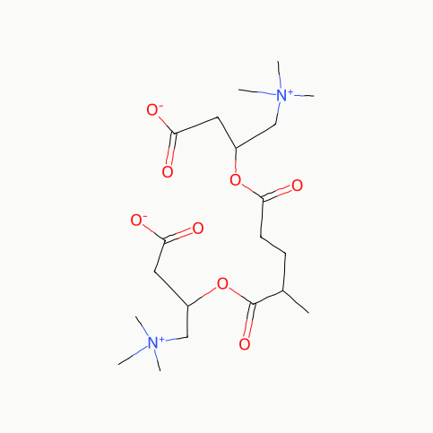 CC(CCC(=O)OC(CC(=O)[O-])C[N+](C)(C)C)C(=O)OC(CC(=O)[O-])C[N+](C)(C)C